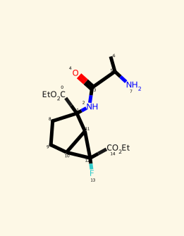 CCOC(=O)C1(NC(=O)C(C)N)CCC2C1C2(F)C(=O)OCC